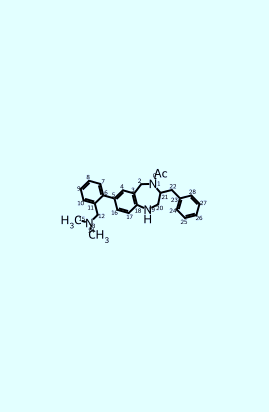 CC(=O)N1Cc2cc(-c3ccccc3CN(C)C)ccc2NCC1Cc1ccccc1